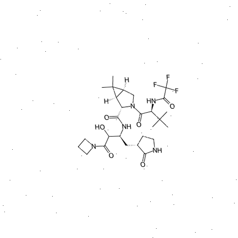 CC(C)(C)[C@H](NC(=O)C(F)(F)F)C(=O)N1C[C@H]2[C@@H]([C@H]1C(=O)N[C@@H](C[C@@H]1CCNC1=O)C(O)C(=O)N1CCC1)C2(C)C